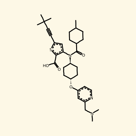 CC1CCC(C(=O)N(c2cc(C#CC(C)(C)C)sc2C(=O)O)[C@H]2CC[C@H](Oc3ccnc(CN(C)C)c3)CC2)CC1